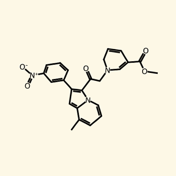 COC(=O)C1=CN(CC(=O)c2c(-c3cccc([N+](=O)[O-])c3)cc3c(C)cccn23)CC=C1